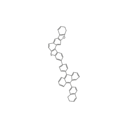 C1=Cc2ccc(-c3c4ccccc4c(-c4ccc(-c5ccc6c(c5)sc5ccc7cc8c9c(oc8cc7c56)CCC=C9)cc4)c4ccccc34)cc2CC1